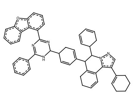 C1=CCC(C2C(C3=CCC(C4N=C(c5cccc6oc7ccccc7c56)N=C(c5ccccc5)N4)C=C3)C3=C(C=CCC3)c3c(C4=CCCCC4)cnn32)C=C1